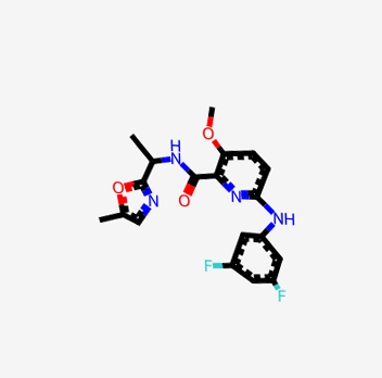 COc1ccc(Nc2cc(F)cc(F)c2)nc1C(=O)NC(C)c1ncc(C)o1